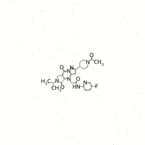 CC(=O)N1CCC(c2cc3n(CC(=O)Nc4ccc(F)cn4)c4c(c(=O)n3n2)CN(C(C)C)C4=O)CC1